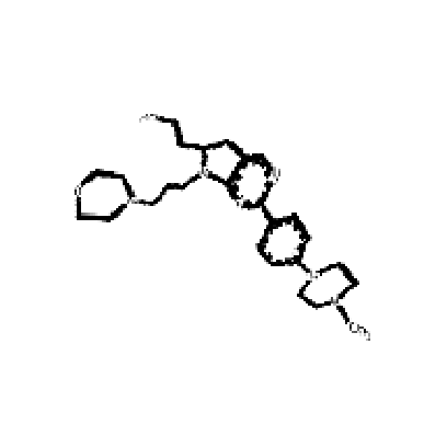 CN1CCN(c2ccc(-c3ncc4c(n3)N(CCCN3CCOCC3)C(CCO)C4)cc2)CC1